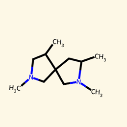 CC1CC2(CN(C)CC2C)CN1C